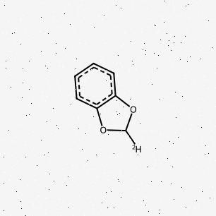 [2H]C1Oc2ccccc2O1